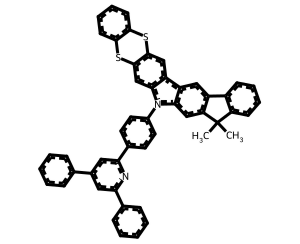 CC1(C)c2ccccc2-c2cc3c4cc5c(cc4n(-c4ccc(-c6cc(-c7ccccc7)cc(-c7ccccc7)n6)cc4)c3cc21)Sc1ccccc1S5